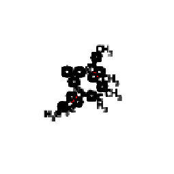 Cc1ccc(-c2ccc(N(CC(c3ccc(C)cc3)c3ccc(C)cc3)c3ccc(C4(c5ccc(N(CC(c6ccc(C)cc6)c6ccc(C)cc6)c6ccc(-c7ccc(C)cc7)cc6)cc5)CCCCC4)cc3)cc2)cc1